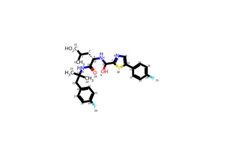 CC(C[C@H](NC(O)c1ncc(-c2ccc(F)cc2)s1)C(=O)NC(C)(C)Cc1ccc(F)cc1)C(=O)O